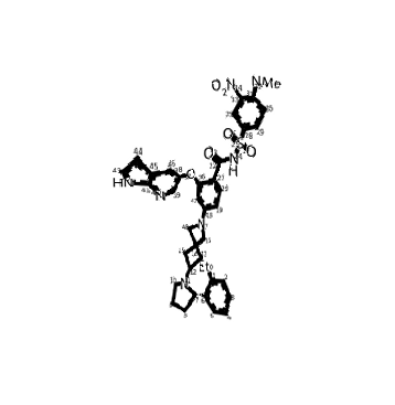 CCc1ccccc1[C@@H]1CCCN1C1CC2(C1)CN(c1ccc(C(=O)NS(=O)(=O)c3ccc(NC)c([N+](=O)[O-])c3)c(Oc3cnc4[nH]ccc4c3)c1)C2